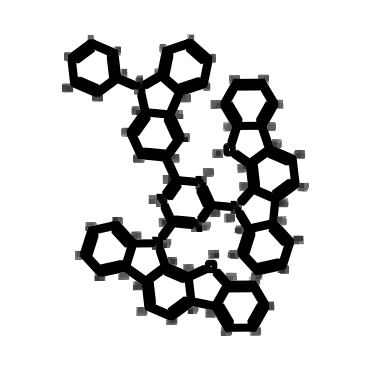 c1ccc(-n2c3ccccc3c3cc(-c4nc(-n5c6ccccc6c6ccc7c8ccccc8oc7c65)nc(-n5c6ccccc6c6ccc7c8ccccc8oc7c65)n4)ccc32)cc1